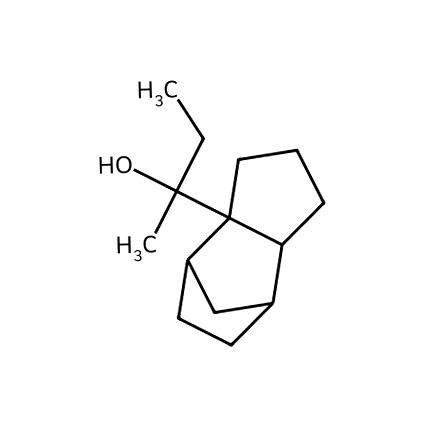 CCC(C)(O)C12CCCC1C1CCC2C1